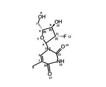 Cc1cn(C2O[C@H](CO)[C@@H](O)[C@@H]2F)c(=O)[nH]c1=O